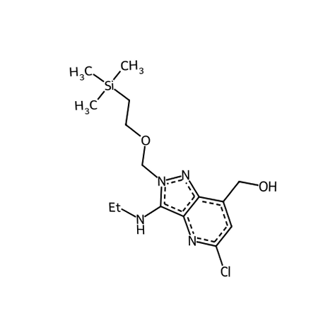 CCNc1c2nc(Cl)cc(CO)c2nn1COCC[Si](C)(C)C